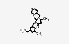 Cc1cc(CN)cc(Cn2c(=O)cc(C)n(Cc3ccncn3)c2=O)n1